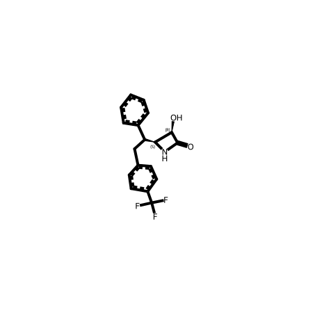 O=C1N[C@@H](C(Cc2ccc(C(F)(F)F)cc2)c2ccccc2)[C@H]1O